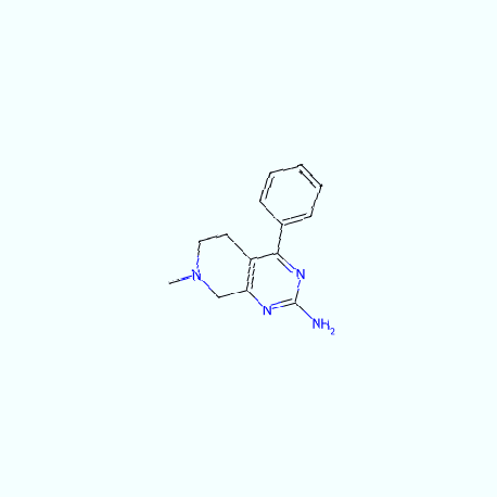 CN1CCc2c(nc(N)nc2-c2ccccc2)C1